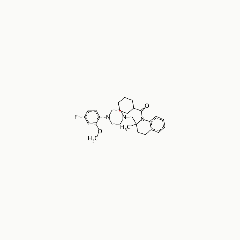 COc1cc(F)ccc1N1CCN(CC2(C)CCc3ccccc3N2C(=O)C2CCCCC2)CC1